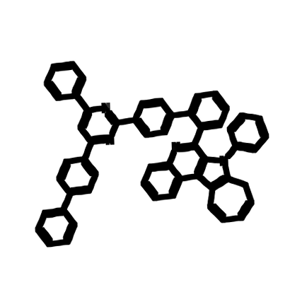 C1=CCc2c(c3c4ccccc4nc(-c4ccccc4-c4ccc(-c5nc(-c6ccccc6)cc(-c6ccc(-c7ccccc7)cc6)n5)cc4)c3n2-c2ccccc2)C=C1